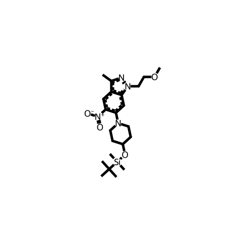 COCCn1nc(C)c2cc([N+](=O)[O-])c(N3CCC(O[Si](C)(C)C(C)(C)C)CC3)cc21